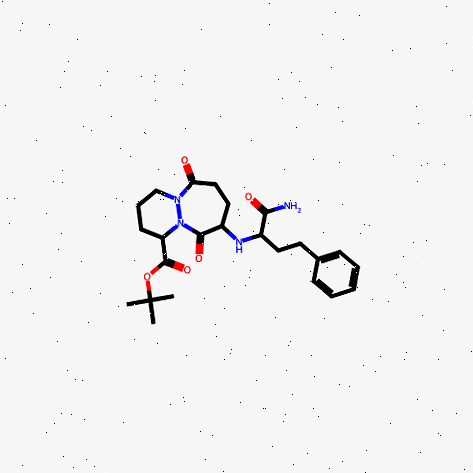 CC(C)(C)OC(=O)C1CCCN2C(=O)CCC(NC(CCc3ccccc3)C(N)=O)C(=O)N12